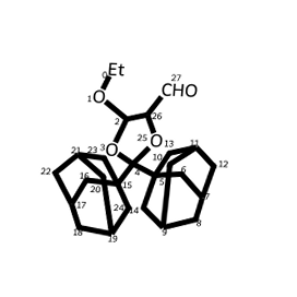 CCOC1OC(C23CC4CC(CC(C4)C2)C3)(C23CC4CC(CC(C4)C2)C3)OC1C=O